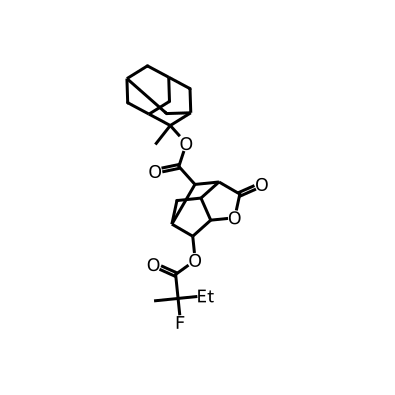 CCC(C)(F)C(=O)OC1C2CC3C1OC(=O)C3C2C(=O)OC1(C)C2CC3CC(C2)CC1C3